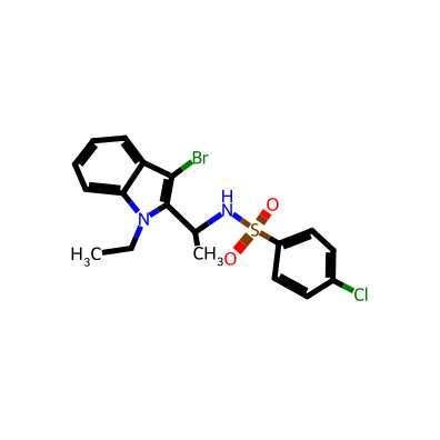 CCn1c(C(C)NS(=O)(=O)c2ccc(Cl)cc2)c(Br)c2ccccc21